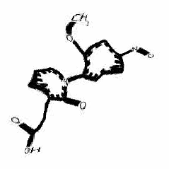 COc1cc(N=O)ccc1-n1cccc(CC(=O)O)c1=O